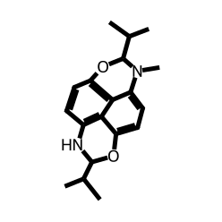 CC(C)C1Nc2ccc3c4c(ccc(c24)O1)N(C)C(C(C)C)O3